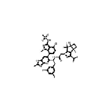 Cc1nc2nc([C@H](Cc3cc(F)cc(F)c3)NC(=O)Cn3nc(C(F)F)c4c3C(F)(F)[C@@H]3CC[C@H]43)c(-c3ccc(Cl)c4c(NS(C)(=O)=O)nn(C)c34)cc2[nH]1